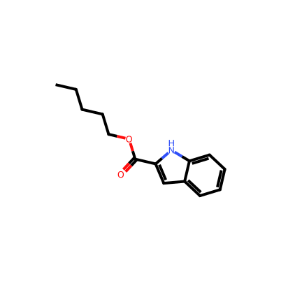 CCCCCOC(=O)c1cc2ccccc2[nH]1